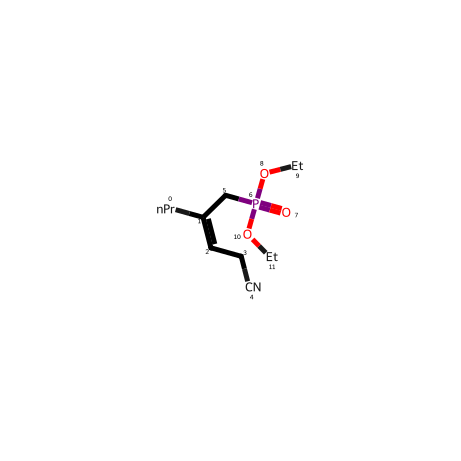 CCCC(=CCC#N)CP(=O)(OCC)OCC